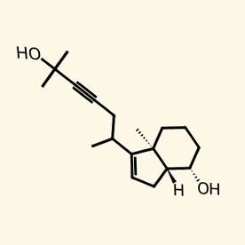 CC(CC#CC(C)(C)O)C1=CC[C@H]2[C@@H](O)CCC[C@]12C